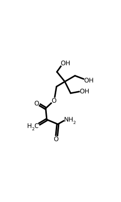 C=C(C(N)=O)C(=O)OCC(CO)(CO)CO